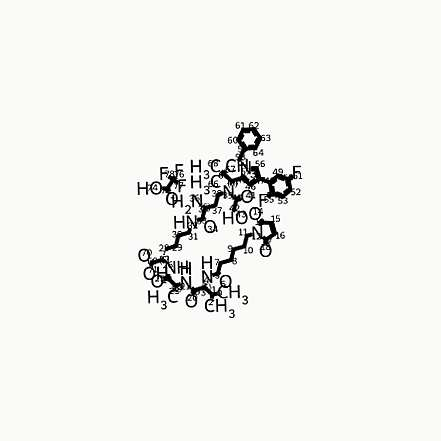 CC(C)[C@H](NC(=O)CCCCCN1C(=O)C=CC1=O)C(=O)N[C@@H](C)C(=O)N[C@@H](CCCCNC(=O)[C@@H](N)CCN(C(=O)CO)[C@@H](c1cc(-c2cc(F)ccc2F)cn1Cc1ccccc1)C(C)(C)C)C(=O)O.O=C(O)C(F)(F)F